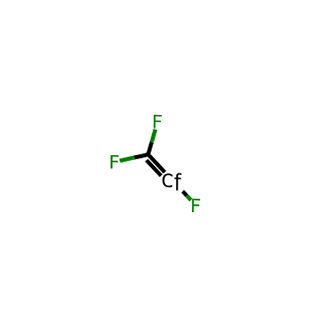 [F][Cf]=[C](F)F